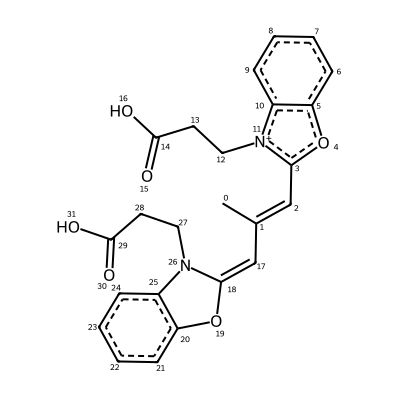 CC(=C\c1oc2ccccc2[n+]1CCC(=O)O)/C=C1/Oc2ccccc2N1CCC(=O)O